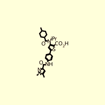 Cc1cc(C(=O)Nc2ccc(-c3cc(N(C(=O)C4CCC(C)CC4)C(C)C)c(C(=O)O)s3)cc2)nn1C